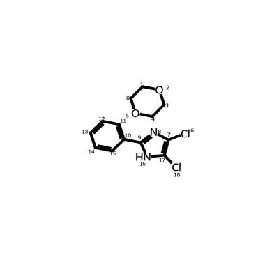 C1COCCO1.Clc1nc(-c2ccccc2)[nH]c1Cl